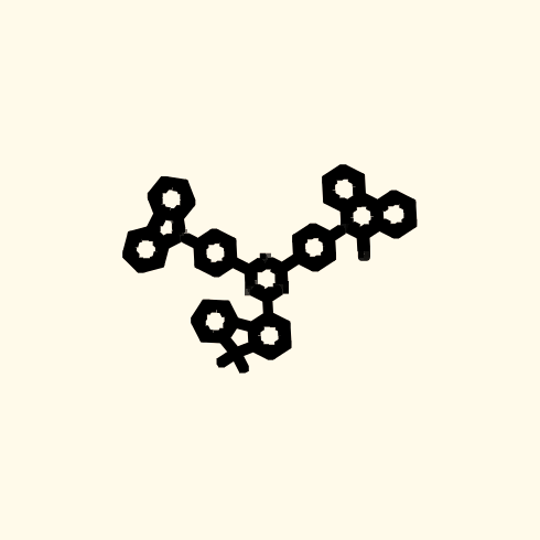 CC1(C)c2ccccc2-c2c(-c3nc(-c4ccc(-n5c(=O)c6ccccc6c6ccccc65)cc4)nc(-c4ccc(-n5c6ccccc6c6ccccc65)cc4)n3)cccc21